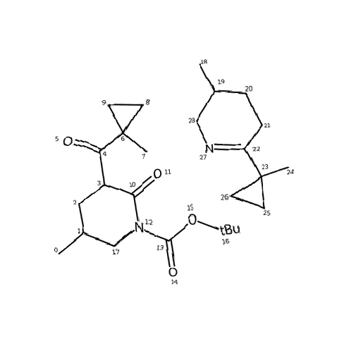 CC1CC(C(=O)C2(C)CC2)C(=O)N(C(=O)OC(C)(C)C)C1.CC1CCC(C2(C)CC2)=NC1